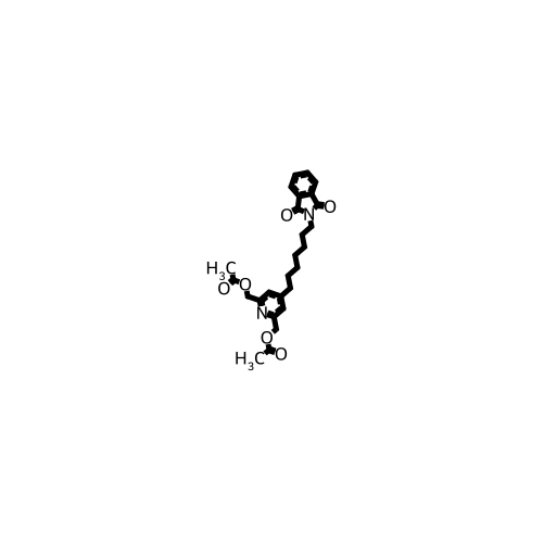 CC(=O)OCc1cc(CCCCCCCN2C(=O)c3ccccc3C2=O)cc(COC(C)=O)n1